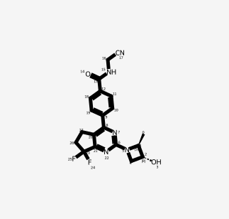 C[C@H]1[C@H](O)CN1c1nc(-c2ccc(C(=O)NCC#N)cc2)c2c(n1)C(F)(F)CC2